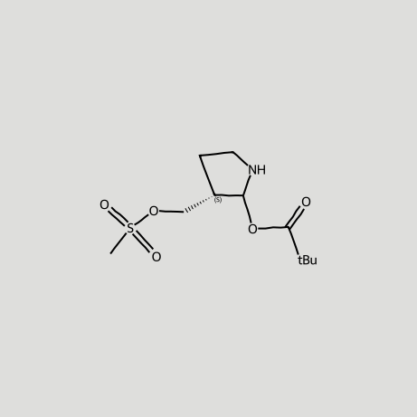 CC(C)(C)C(=O)OC1NCC[C@H]1COS(C)(=O)=O